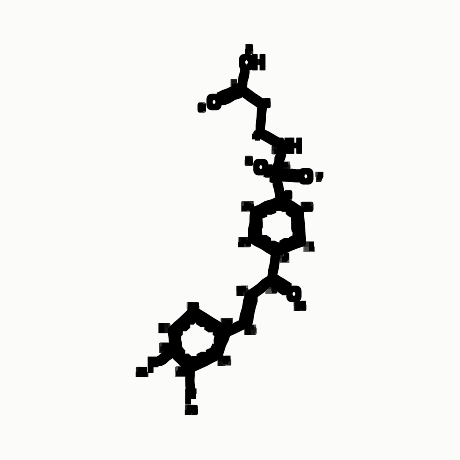 O=C(O)CCNS(=O)(=O)c1ccc(C(=O)/C=C/c2ccc(F)c(F)c2)cc1